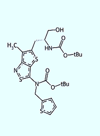 Cc1c(C[C@H](CO)NC(=O)OC(C)(C)C)sc2c(N(Cc3cccs3)C(=O)OC(C)(C)C)snc12